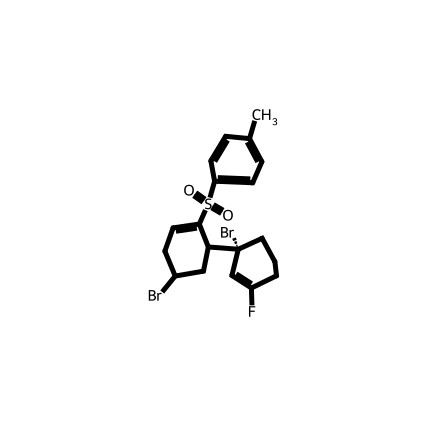 Cc1ccc(S(=O)(=O)C2=CCC(Br)CC2[C@]2(Br)C=C(F)CCC2)cc1